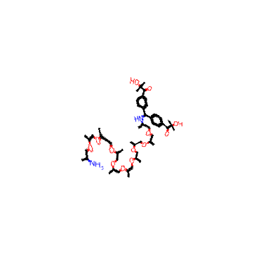 CC(N)COC(C)COC(C)COC(C)COC(C)COC(C)COC(C)COC(C)COC(C)COCC(C)NC(c1ccc(C(=O)C(C)(C)O)cc1)c1ccc(C(=O)C(C)(C)O)cc1